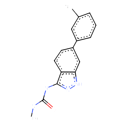 CCCCNC(=O)Nc1n[nH]c2cc(-c3cccc(C#N)c3)ccc12